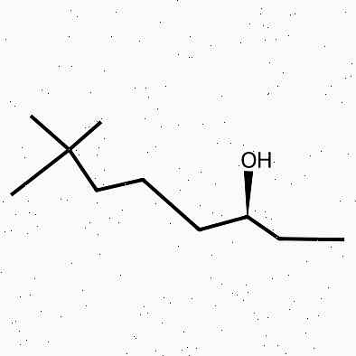 CC[C@H](O)CCCC(C)(C)C